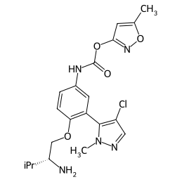 Cc1cc(OC(=O)Nc2ccc(OC[C@H](N)C(C)C)c(-c3c(Cl)cnn3C)c2)no1